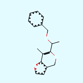 CC1=C(C(C)OCc2ccccc2)OCc2ccoc21